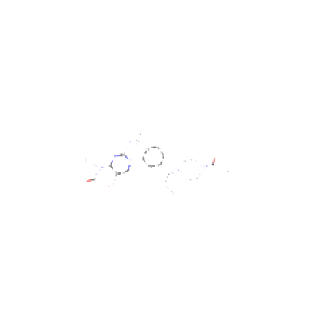 CCN1C(=O)OCc2cnc(N[C@@H](C)c3ccc(C(CC(C)C)N4CCN(C(=O)OC(C)(C)C)CC4)cc3)nc21